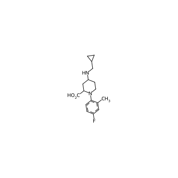 Cc1cc(F)ccc1N1CCC(NCC2CC2)CC1C(=O)O